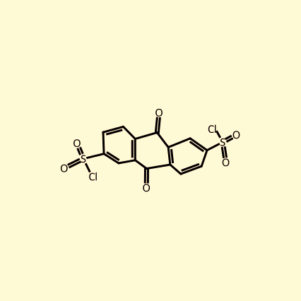 O=C1c2ccc(S(=O)(=O)Cl)cc2C(=O)c2ccc(S(=O)(=O)Cl)cc21